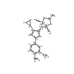 CC(=O)N1C[C@@H]2[C@H](C1)[C@H]2n1cc(-c2cnc(N)c(C)c2)nc1C1CC1